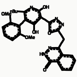 CCCCc1nc(O)c(-c2nnc(Cc3n[nH]c(=O)c4ccccc34)o2)c(O)c1-c1c(OC)cccc1OC